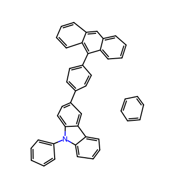 c1ccc(-n2c3ccccc3c3cc(-c4ccc(-c5c6ccccc6cc6ccccc56)cc4)ccc32)cc1.c1ccccc1